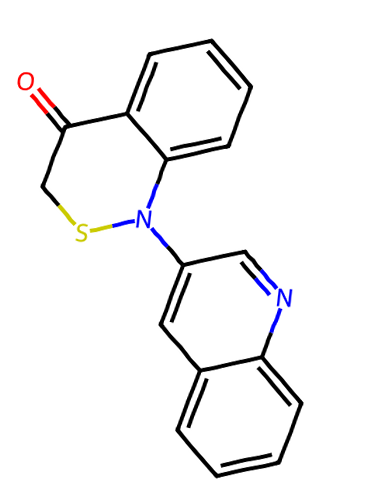 O=C1CSN(c2cnc3ccccc3c2)c2ccccc21